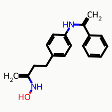 C=C(CCc1ccc(NC(=C)c2ccccc2)cc1)NO